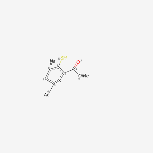 COC(=O)c1cc(C(C)=O)ccc1S.[Na]